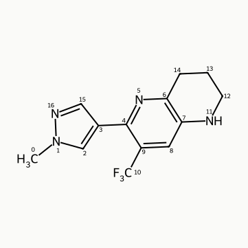 Cn1cc(-c2nc3c(cc2C(F)(F)F)NCCC3)cn1